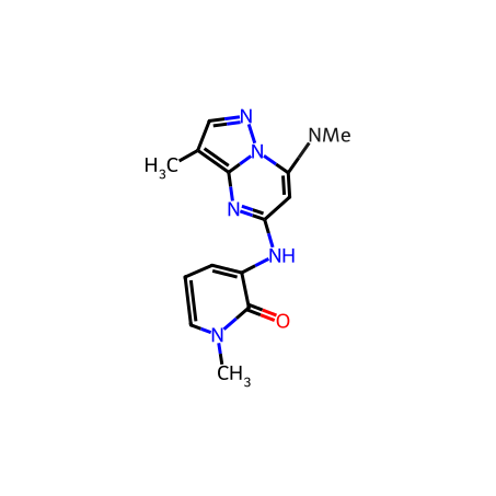 CNc1cc(Nc2cccn(C)c2=O)nc2c(C)cnn12